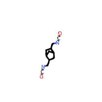 O=C=NCC1CC2CC1CC2CN=C=O